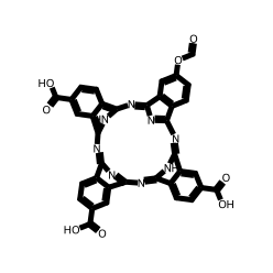 O=COc1ccc2c(c1)-c1nc-2nc2[nH]c(nc3nc(nc4[nH]c(n1)c1ccc(C(=O)O)cc41)-c1ccc(C(=O)O)cc1-3)c1ccc(C(=O)O)cc21